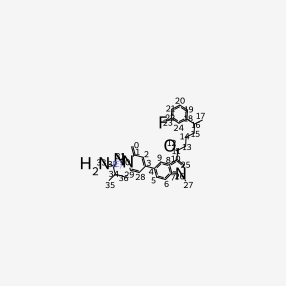 C=C1C=C(c2ccc3c(c2)c(C(=O)CCCC(C)c2cccc(F)c2)cn3C)C=CN1/N=C(/N)C(C)C